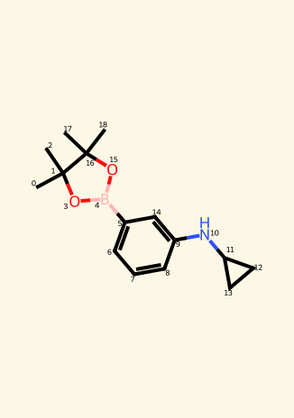 CC1(C)OB(c2cccc(NC3CC3)c2)OC1(C)C